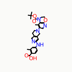 Cc1cc(Nc2cc3c(cn2)CCN(c2cnc4c(c2C)N(C(=O)OC(C)(C)C)CCO4)C3)ccc1C(=O)O